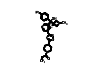 CC(C)c1ccc([C@](O)(c2cncc(-c3noc(C4CCN(C(=O)CC(F)(F)F)CC4)n3)c2)C2(C)CN(C)C2)cc1